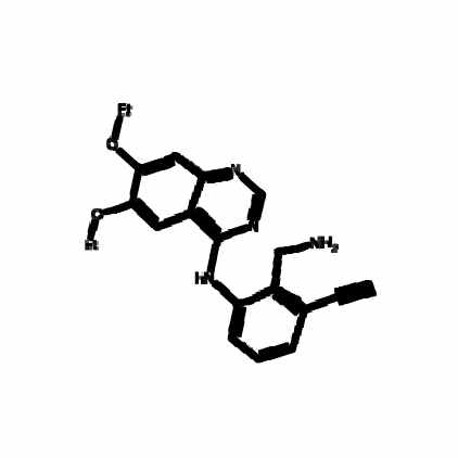 C#Cc1cccc(Nc2ncnc3cc(OCC)c(OCC)cc23)c1CN